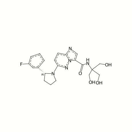 O=C(NC(CO)(CO)CO)c1cnc2ccc(N3CCC[C@@H]3c3cccc(F)c3)nn12